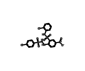 O=[N+]([O-])c1ccc(NNS(=O)(=O)c2ccc(Cl)cc2)c(S(=O)(=O)Nc2ccccc2Cl)c1